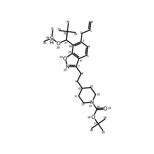 C=CCc1ccc2c(CCC3CCN(C(=O)OC(C)(C)C)CC3)noc2c1C(O[SiH](C)C)C(C)(C)C